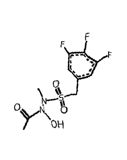 CC(=O)N(O)N(C)S(=O)(=O)Cc1cc(F)c(F)c(F)c1